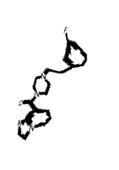 O=C(c1cccn2ccnc12)N1CCN(CCc2cccc(F)c2)CC1